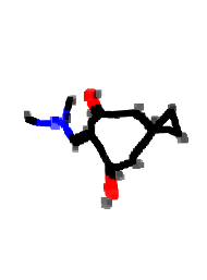 CN(C)C=C1C(=O)CC2(CC2)CC1=O